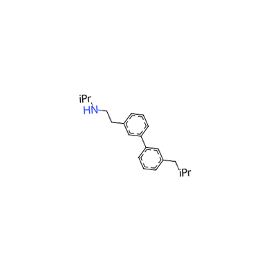 CC(C)Cc1cccc(-c2cccc(CCNC(C)C)c2)c1